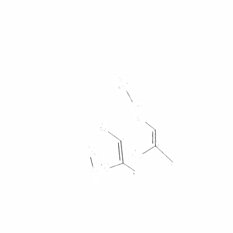 CC(=O)C=C(C)O.CC(=O)C=C(C)O.CC(C)O.CC(C)O.[Ti]